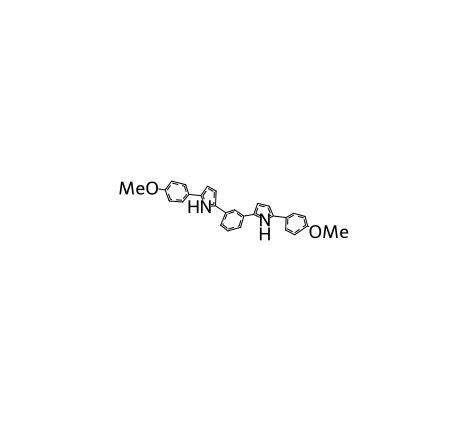 COc1ccc(-c2ccc(-c3cccc(-c4ccc(-c5ccc(OC)cc5)[nH]4)c3)[nH]2)cc1